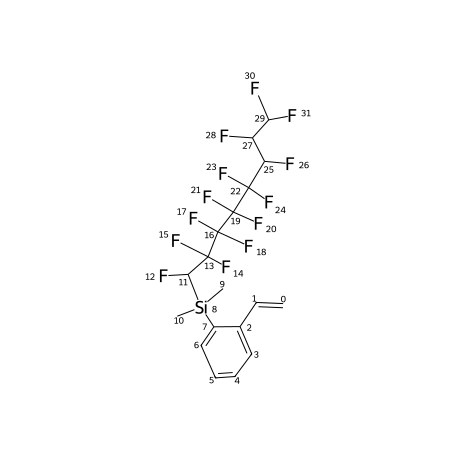 C=Cc1ccccc1[Si](C)(C)C(F)C(F)(F)C(F)(F)C(F)(F)C(F)(F)C(F)C(F)C(F)F